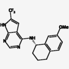 COc1ccc2c(c1)[C@@H](Nc1ncnc3[nH]c(C(F)(F)F)cc13)CCC2